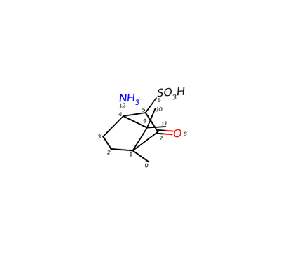 CC12CCC(C(S(=O)(=O)O)C1=O)C2(C)C.N